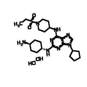 CCS(=O)(=O)N1CCC(Nc2nc(N[C@H]3CC[C@H](N)CC3)nc3c2ncn3C2CCCC2)CC1.Cl.Cl